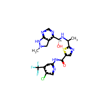 CC(N[C@H](O)c1ncnc2c1CN(C)N2)c1ncc(C(=O)Nc2cc(C(F)(F)F)c(Cl)cn2)s1